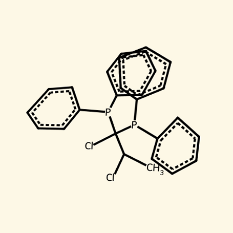 CC(Cl)C(Cl)(P(c1ccccc1)c1ccccc1)P(c1ccccc1)c1ccccc1